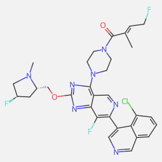 C/C(=C\CF)C(=O)N1CCN(c2nc(OC[C@@H]3C[C@@H](F)CN3C)nc3c(F)c(-c4cncc5cccc(Cl)c45)ncc23)CC1